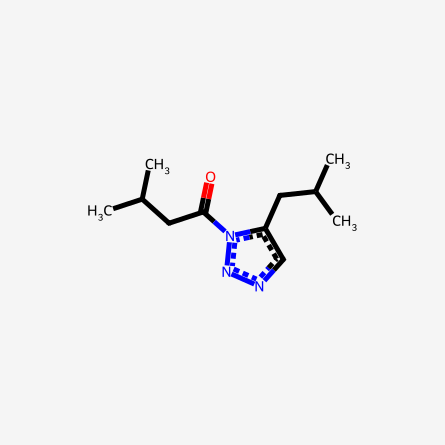 CC(C)CC(=O)n1nncc1CC(C)C